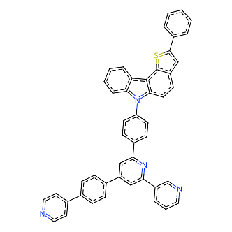 c1ccc(-c2cc3ccc4c(c5ccccc5n4-c4ccc(-c5cc(-c6ccc(-c7ccncc7)cc6)cc(-c6cccnc6)n5)cc4)c3s2)cc1